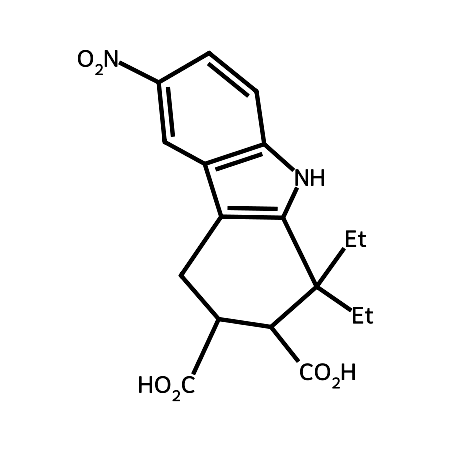 CCC1(CC)c2[nH]c3ccc([N+](=O)[O-])cc3c2CC(C(=O)O)C1C(=O)O